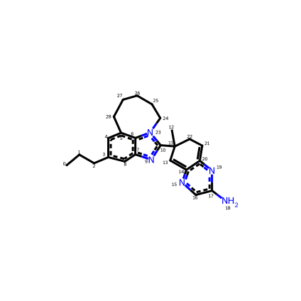 CCCc1cc2c3c(c1)nc(C1(C)C=c4ncc(N)nc4=CC1)n3CCCCC2